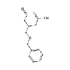 O=CCC(COCc1ccccc1)CC(=O)O